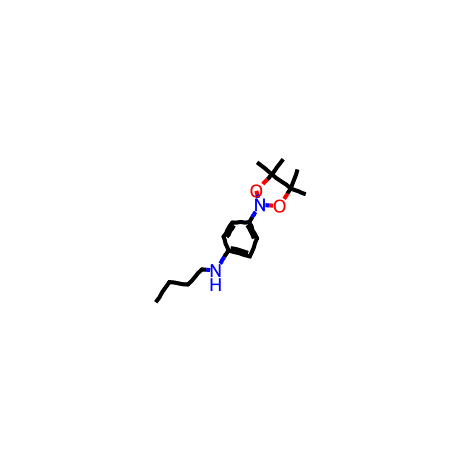 CCCCNc1ccc(N2OC(C)(C)C(C)(C)O2)cc1